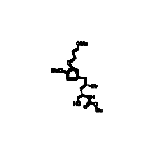 COCCCOc1cc(C[C@@H](C[C@@H](CO)NC(=O)OC(C)(C)C)C(C)C)ccc1OC